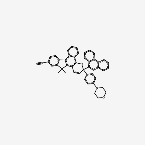 CC1(C)c2cc(C#N)ccc2-c2c1c1c(c3ccccc23)OC(c2ccc(N3CCOCC3)cc2)(c2cc3ccccc3c3ccccc23)C=C1